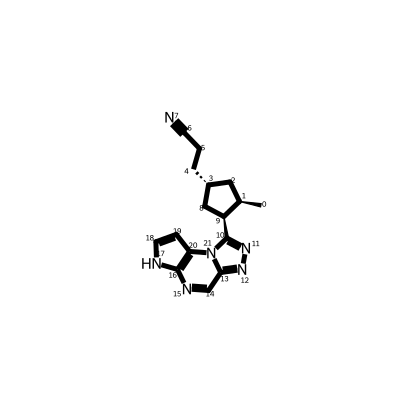 C[C@@H]1C[C@@H](CCC#N)C[C@@H]1c1nnc2cnc3[nH]ccc3n12